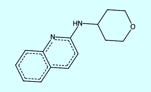 c1ccc2nc(NC3CCOCC3)ccc2c1